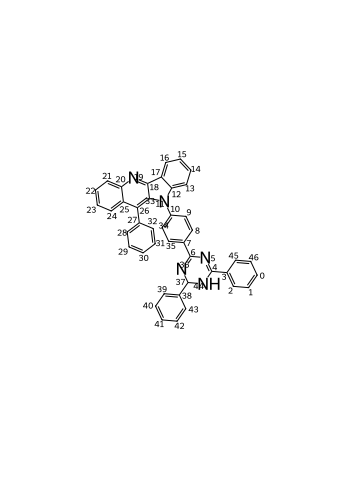 c1ccc(C2=NC(c3ccc(-n4c5ccccc5c5nc6ccccc6c(-c6ccccc6)c54)cc3)=NC(c3ccccc3)N2)cc1